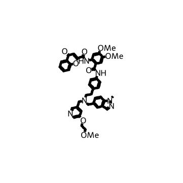 COCCOc1cncc(CN(CCc2ccc(NC(=O)c3cc(OC)c(OC)cc3NC(=O)c3cc(=O)c4ccccc4o3)cc2)Cc2ccc3c(cnn3C)c2)c1